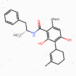 CCCCCc1cc(O)c(C2C=C(C)CCC2)c(O)c1C(=O)N[C@@H](Cc1ccccc1)C(=O)O